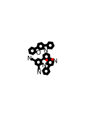 N#Cc1cc(-c2cc(C#N)cc(C#N)c2-n2c3ccccc3c3ccccc32)cc(-n2c3ccccc3c3ccc4c5ccccc5oc4c32)c1